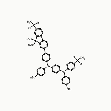 CCCCCCCCC1(CCCCCCCC)c2cc(-c3ccc(N(c4ccc(CCCC)cc4)c4ccc(N(c5ccc(CCCC)cc5)c5ccc(C(C)(CC)CC)cc5)cc4)cc3)ccc2-c2ccc(C(C)(CC)CC)cc21